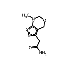 CN1COCc2c(CC(N)=O)nsc21